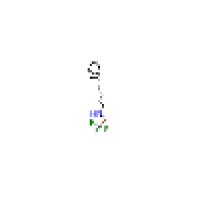 FC(F)(F)SNCCCCCC1CC2C=CC1C2